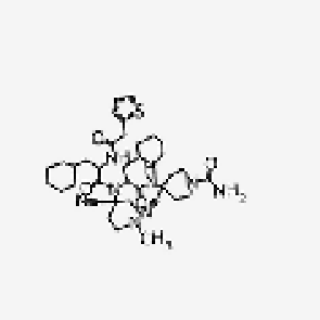 CN1CCC(C#N)(N(C(=O)C(CC2CCCCC2)NC(=O)Cc2cccs2)C(CC2CCCCC2)C(=O)NC2(C#N)CCN(C(N)=O)CC2)CC1